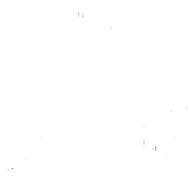 Cl.N#CNC(=O)c1ccc2[nH]c(C(=O)c3cnn(-c4ccc(Oc5cccc(C#N)c5)cc4Cl)c3N)cc2c1